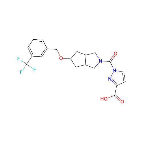 O=C(O)c1ccn(C(=O)N2CC3CC(OCc4cccc(C(F)(F)F)c4)CC3C2)n1